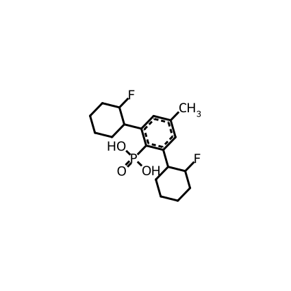 Cc1cc(C2CCCCC2F)c(P(=O)(O)O)c(C2CCCCC2F)c1